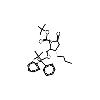 CCCC[C@H]1CC(=O)N(C(=O)OC(C)(C)C)[C@@H]1CO[Si](c1ccccc1)(c1ccccc1)C(C)(C)C